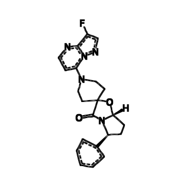 O=C1N2[C@@H](CC[C@H]2c2ccccc2)OC12CCN(c1ccnc3c(F)cnn13)CC2